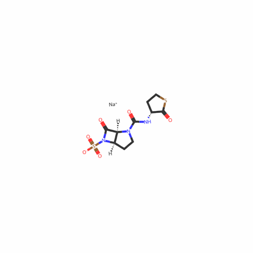 O=C1SCC[C@H]1NC(=O)N1CC[C@@H]2[C@H]1C(=O)N2S(=O)(=O)[O-].[Na+]